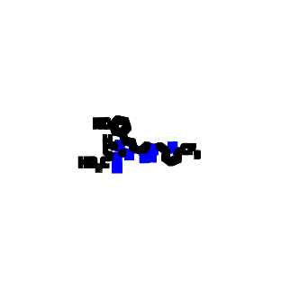 CC(Nc1nc(-c2cccc(C#N)c2)cc(-c2cn(Cc3cccc(C(F)(F)F)n3)nn2)n1)C(=O)O